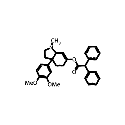 COc1ccc(C23CCC(OC(=O)C(c4ccccc4)c4ccccc4)=CC2N(C)CC3)cc1OC